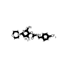 Cc1cc(N2CCOCC2)nc(C(C)C)c1OC(=O)NCc1ccc(C(F)(F)F)cc1